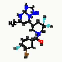 CC1=NC2=NCNN2C(C2CN(C(=O)c3ccc(F)c(Br)c3)CC(F)(F)C2)=C1